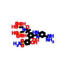 CC(C)(C(=O)N(CCP(=O)(O)O)CCP(=O)(O)O)c1cc(-c2nc3cc(C(=N)N)ccc3[nH]2)c(O)c(-c2cc(S(N)(=O)=O)ccc2O)c1